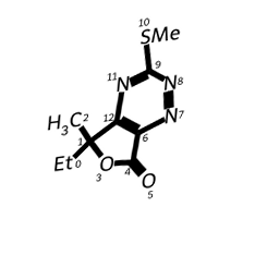 CCC1(C)OC(=O)c2nnc(SC)nc21